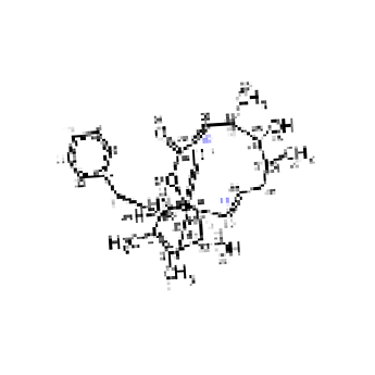 CC1=C(C)[C@H]2[C@H](Cc3ccccc3)NC(=O)[C@]23OC(=O)/C=C/[C@H](C)[C@H](O)[C@@H](C)C/C=C/[C@H]3[C@@H]1O